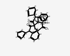 O=C1CCC(C(=O)C(c2ccccc2)c2ccccc2)(C(=O)C(c2ccccc2)c2ccccc2)[C@@H]2CNC[C@H]12